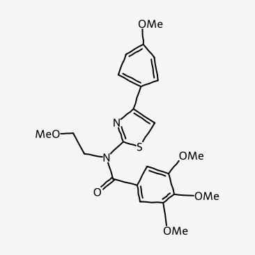 COCCN(C(=O)c1cc(OC)c(OC)c(OC)c1)c1nc(-c2ccc(OC)cc2)cs1